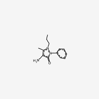 CCCn1c(C)c(N)c(=O)n1-c1ccccc1